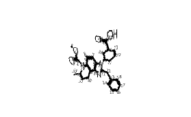 COC(=O)N1c2ccc3c(nc(Cc4ccccc4)n3C3CCCC(C(=O)O)C3)c2CC[C@H]1C